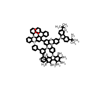 Bc1c(B)c(B)c2c(c1B)c1c(B)c(B)c(B)c(B)c1n2-c1ccc2c(c1)N(c1cc(-c3ccccc3)cc(-c3ccccc3)c1)c1cc(-c3cc4c5c(c3-c3ccccc3-c3ccccc3)Oc3ccccc3B5c3ccccc3O4)cc3c1B2c1ccc(-n2c4ccc(C(C)(C)C)cc4c4cc(C(C)(C)C)ccc42)cc1S3